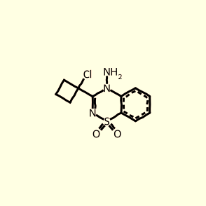 NN1C(C2(Cl)CCC2)=NS(=O)(=O)c2ccccc21